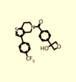 O=C(c1ccc(C2(O)COC2)cc1)N1CCc2scc(-c3ccc(C(F)(F)F)cc3)c2C1